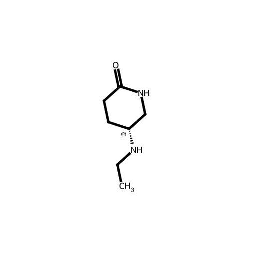 CCN[C@@H]1CCC(=O)NC1